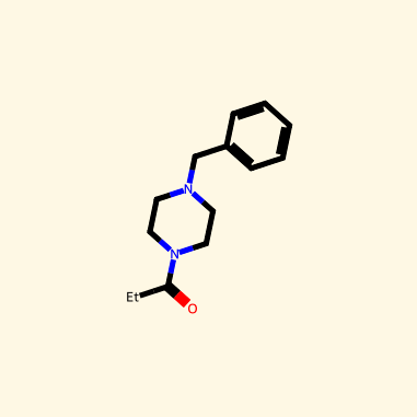 CCC(=O)N1CCN(Cc2ccccc2)CC1